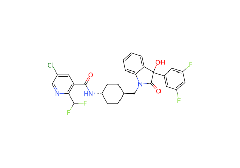 O=C(N[C@H]1CC[C@H](CN2C(=O)C(O)(c3cc(F)cc(F)c3)c3ccccc32)CC1)c1cc(Cl)cnc1C(F)F